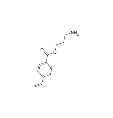 C=Cc1ccc(C(=O)OCCCN)cc1